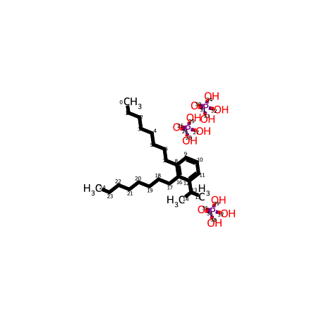 CCCCCCCCc1cccc(C(C)C)c1CCCCCCCC.O=P(O)(O)O.O=P(O)(O)O.O=P(O)(O)O